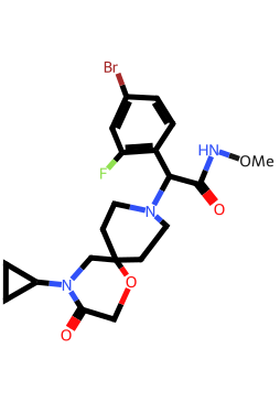 CONC(=O)C(c1ccc(Br)cc1F)N1CCC2(CC1)CN(C1CC1)C(=O)CO2